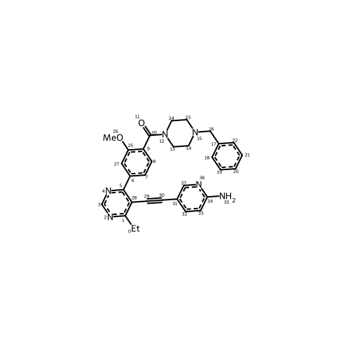 CCc1ncnc(-c2ccc(C(=O)N3CCN(Cc4ccccc4)CC3)c(OC)c2)c1C#Cc1ccc(N)nc1